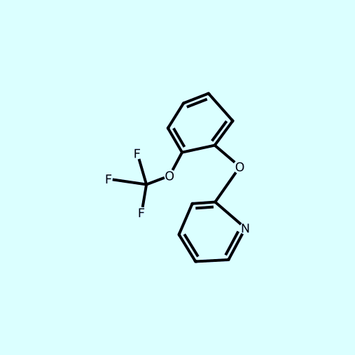 FC(F)(F)Oc1ccccc1Oc1ccccn1